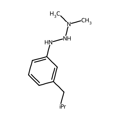 CC(C)Cc1cccc(NNN(C)C)c1